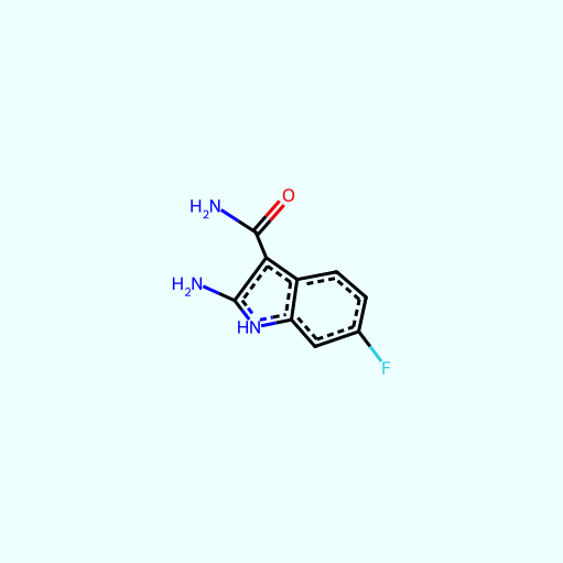 NC(=O)c1c(N)[nH]c2cc(F)ccc12